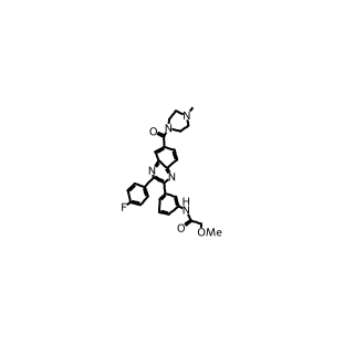 COCC(=O)Nc1cccc(-c2nc3ccc(C(=O)N4CCN(C)CC4)cc3nc2-c2ccc(F)cc2)c1